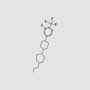 CCCC1CCC(C2CCC(c3ccc(C(F)(F)F)c(F)c3)CC2)CC1